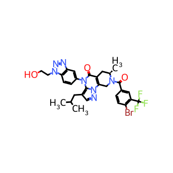 CC(C)Cc1cnn2c3c(c(=O)n(-c4ccc5c(c4)nnn5CCO)c12)C[C@@H](C)N(C(=O)c1ccc(Br)c(C(F)(F)F)c1)C3